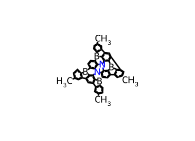 Cc1ccc2c(c1)-c1cc3c4c5c1B2c1ccc2c6c1N5c1c(cc5c7c1N6c1c6c(cc8c1B7c1c-8cc(C)cc1-5)-c1cc(C)ccc1B26)B4c1ccc(C)cc1-3